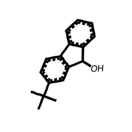 CC(C)(C)c1ccc2c(c1)C(O)c1ccccc1-2